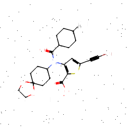 COC(=O)c1sc(C#CBr)cc1N(C(=O)C1CCC(C)CC1)C1CCC2(CC1)OCCO2